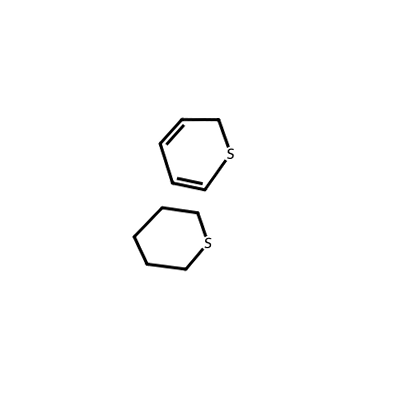 C1=CCSC=C1.C1CCSCC1